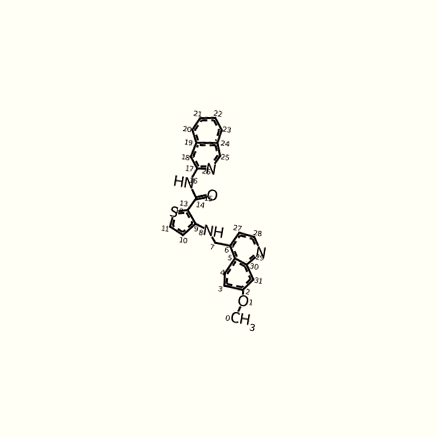 COc1ccc2c(CNc3ccsc3C(=O)Nc3cc4ccccc4cn3)ccnc2c1